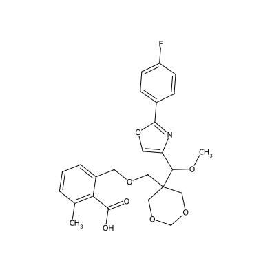 COC(c1coc(-c2ccc(F)cc2)n1)C1(COCc2cccc(C)c2C(=O)O)COCOC1